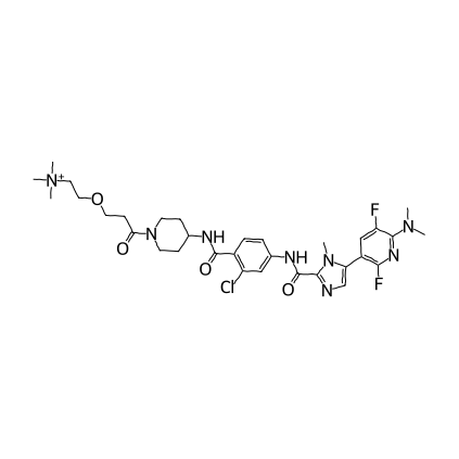 CN(C)c1nc(F)c(-c2cnc(C(=O)Nc3ccc(C(=O)NC4CCN(C(=O)CCOCC[N+](C)(C)C)CC4)c(Cl)c3)n2C)cc1F